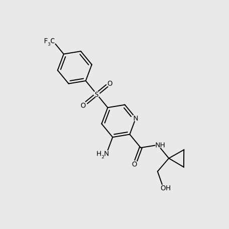 Nc1cc(S(=O)(=O)c2ccc(C(F)(F)F)cc2)cnc1C(=O)NC1(CO)CC1